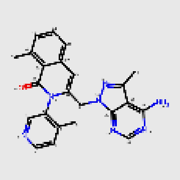 Cc1ccncc1-n1c(Cn2nc(C)c3c(N)ncnc32)cc2cccc(C)c2c1=O